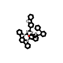 c1ccc(-c2nc(-c3ccc4c(c3)oc3ccccc34)nc(-n3c4ccccc4c4ccc5c6ccccc6n(-c6ccc7nc(-c8ccccc8-c8ccccc8)oc7c6)c5c43)n2)cc1